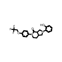 O=C1C2CN(c3ccccc3O)CC2CCN1c1ccc(OCC(F)(F)F)cc1